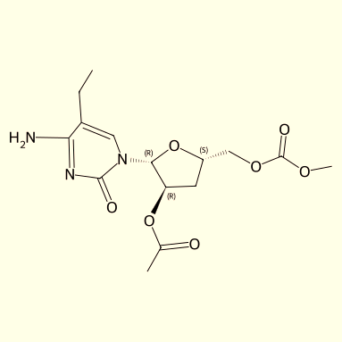 CCc1cn([C@@H]2O[C@H](COC(=O)OC)C[C@H]2OC(C)=O)c(=O)nc1N